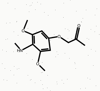 CNc1c(OC)cc(OCC(C)=O)cc1OC